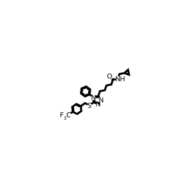 O=C(CCCCc1nnc(SCC2=CC=C(C(F)(F)F)CC2)n1-c1ccccc1)NCC1CC1